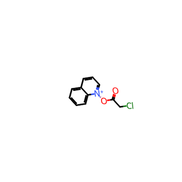 O=C(CCl)O[n+]1cccc2ccccc21